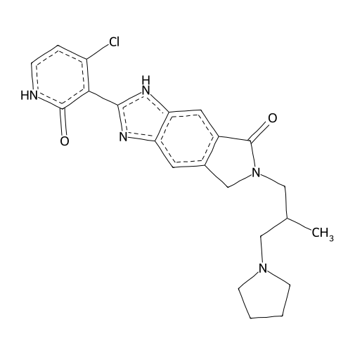 CC(CN1CCCC1)CN1Cc2cc3nc(-c4c(Cl)cc[nH]c4=O)[nH]c3cc2C1=O